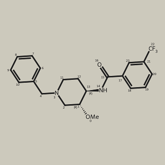 CO[C@@H]1CN(Cc2ccccc2)CC[C@H]1NC(=O)c1cccc(C(F)(F)F)c1